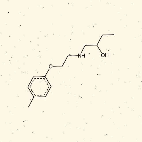 CCC(O)CNCCOc1ccc(C)cc1